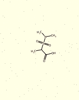 CC(C(=O)O)S(=O)(=O)N(C)C